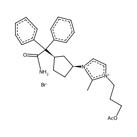 CC(=O)OCCC[n+]1ccn([C@H]2CC[C@@H](C(C(N)=O)(c3ccccc3)c3ccccc3)C2)c1C.[Br-]